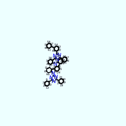 C1=Cc2c(n(-c3nc(-c4ccccc4)nc(-c4ccccc4)n3)c3ccc4c5ccccc5n(-c5ccccc5-c5nc(-c6ccccc6)nc(-c6cccc(-c7ccccc7)c6)n5)c4c23)CC1